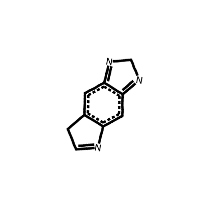 C1=Nc2cc3c(cc2C1)=NCN=3